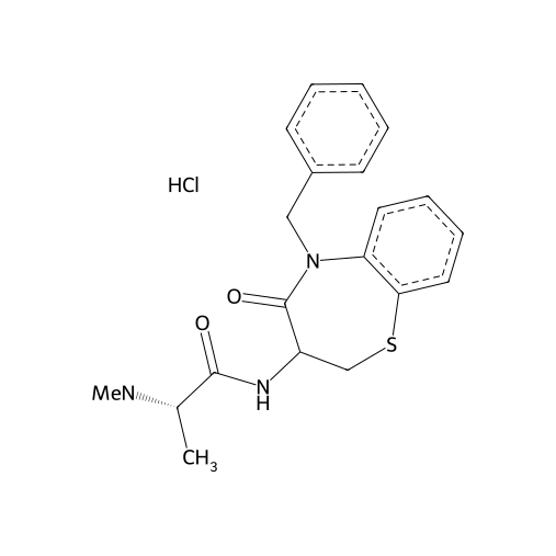 CN[C@@H](C)C(=O)NC1CSc2ccccc2N(Cc2ccccc2)C1=O.Cl